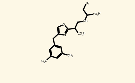 Cc1cc(C)cc(Cc2coc(C(CNC(CC(C)C)C(=O)O)C(=O)O)n2)c1